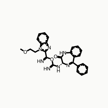 COCCn1c(C(=N)OC(=N)N[C@H]2N=C(c3ccccc3)c3ccccc3NC2=O)nc2ccccc21